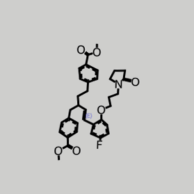 COC(=O)c1ccc(CCC(/C=C/c2cc(F)ccc2OCCCN2CCCC2=O)Cc2ccc(C(=O)OC)cc2)cc1